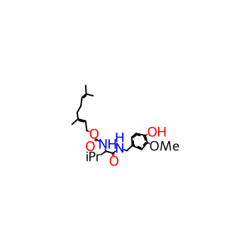 COc1cc(CNC(=O)C(NC(=O)OC/C=C(\C)CCC=C(C)C)C(C)C)ccc1O